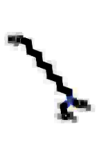 CCCCCCCCCCN(C)CC